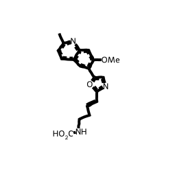 COc1cc2nc(C)ccc2cc1-c1cnc(C=CCCNC(=O)O)o1